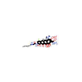 CCCCCCCNCC(=O)Nc1cc(F)c2c(c1O)C(=O)C1=C(O)[C@]3(O)C(=O)C(C(N)=O)=C(O)[C@@H](N(C)C)[C@@H]3C[C@@H]1C2